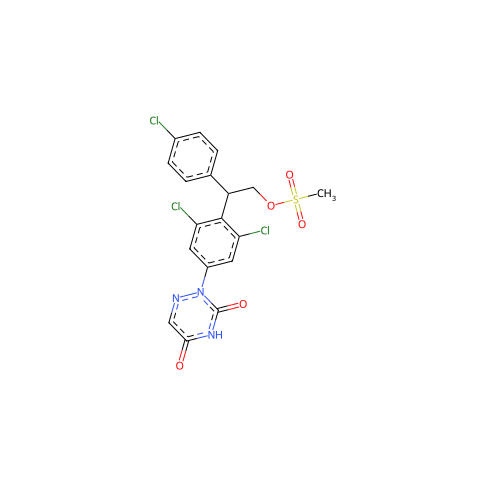 CS(=O)(=O)OCC(c1ccc(Cl)cc1)c1c(Cl)cc(-n2ncc(=O)[nH]c2=O)cc1Cl